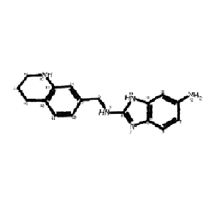 Nc1ccc2nc(NCc3ccc4c(c3)NCCC4)[nH]c2c1